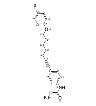 CC(C)(C)OC(=O)Nc1ccc(C#CCCCCCOc2ccc(F)cc2)cc1